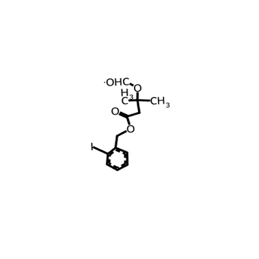 CC(C)(CC(=O)OCc1ccccc1I)O[C]=O